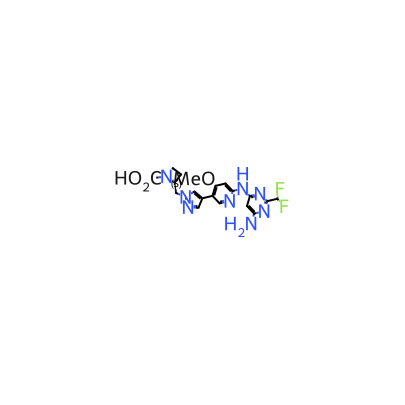 COc1cc(Nc2cc(N)nc(C(F)F)n2)ncc1-c1cnn(C[C@@H]2CCN2C(=O)O)c1